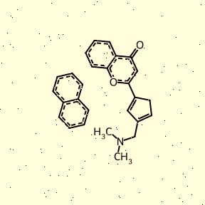 CN(C)CC1=CCC(c2cc(=O)c3ccccc3o2)=C1.c1ccc2ccccc2c1